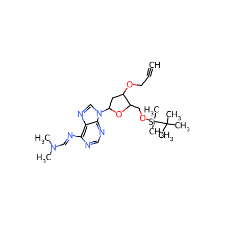 C#CCOC1CC(n2cnc3c(/N=C/N(C)C)ncnc32)OC1CO[Si](C)(C)C(C)(C)C